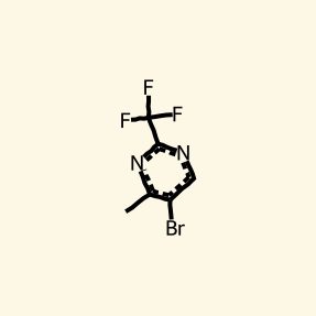 Cc1nc(C(F)(F)F)ncc1Br